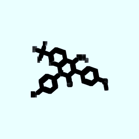 COc1ccc(-c2c(N)c3ccc(C(F)(F)F)nc3n(-c3ccc(Br)cc3)c2=O)cc1